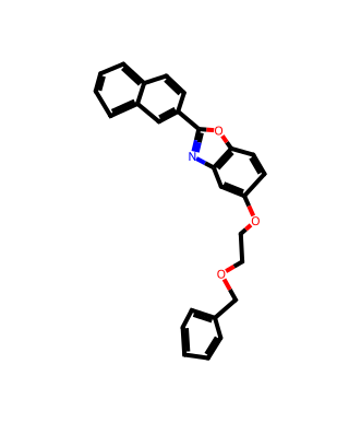 c1ccc(COCCOc2ccc3oc(-c4ccc5ccccc5c4)nc3c2)cc1